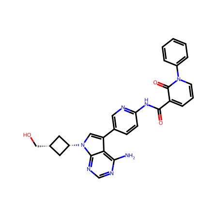 Nc1ncnc2c1c(-c1ccc(NC(=O)c3cccn(-c4ccccc4)c3=O)nc1)cn2[C@H]1C[C@@H](CO)C1